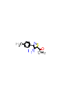 COC(=O)c1snc(-c2ccc(C)cc2)c1N